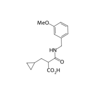 COc1cccc(CNC(=O)C(CC2CC2)C(=O)O)c1